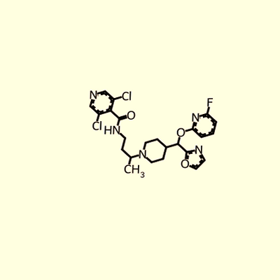 CC(CCNC(=O)c1c(Cl)cncc1Cl)N1CCC(C(Oc2cccc(F)n2)c2ncco2)CC1